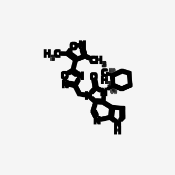 Cc1noc(C)c1-c1nc(Cn2c(=O)n([C@H]3CCCC[C@H]3C)c3c4cc[nH]c4ncc32)no1